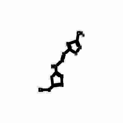 CCSc1nnc(NN=Nc2nc(C)ns2)s1